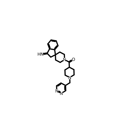 N=C1CC2(CCN(C(=O)C3CCN(Cc4ccnnc4)CC3)CC2)c2ccccc21